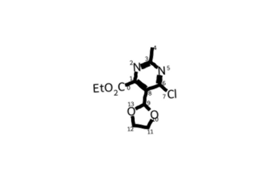 CCOC(=O)c1nc(C)nc(Cl)c1C1OCCO1